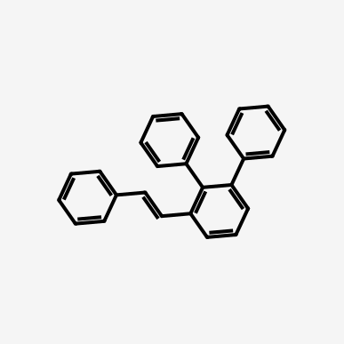 C(=Cc1cccc(-c2ccccc2)c1-c1ccccc1)c1ccccc1